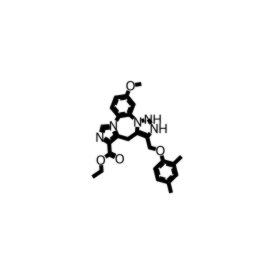 CCOC(=O)c1ncn2c1CC1=C(COc3ccc(C)cc3C)NNN1c1cc(OC)ccc1-2